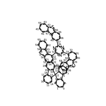 c1ccc2c(c1)-c1ccccc1C21c2ccccc2-c2cccc(-c3ccc4oc5cccc(-c6nc(-c7ccc8sc9ccccc9c8c7)nc(-c7cccc8sc9ccccc9c78)n6)c5c4c3)c21